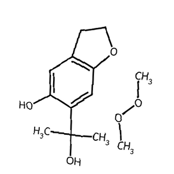 CC(C)(O)c1cc2c(cc1O)CCO2.COOC